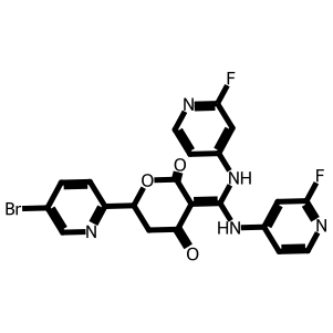 O=C1CC(c2ccc(Br)cn2)OC(=O)C1=C(Nc1ccnc(F)c1)Nc1ccnc(F)c1